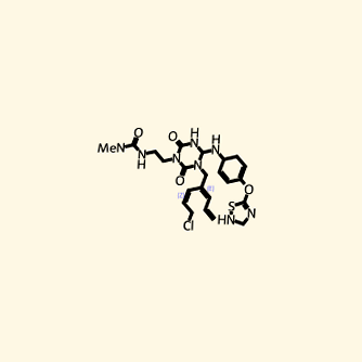 C=C/C=C(\C=C/CCl)CN1C(=O)N(CCNC(=O)NC)C(=O)NC1NC1C=CC(OC2=NCNS2)=CC1